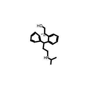 CC(C)NCCC(c1ccccc1)c1ccccc1[C@H](C)CO